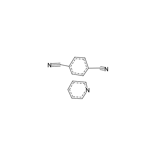 N#Cc1ccc(C#N)cc1.c1ccncc1